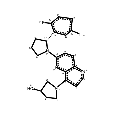 O[C@@H]1CCN(c2ccnc3ccc(N4CCC[C@@H]4c4cc(F)ccc4F)nc23)C1